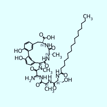 CCCCCCCCCCCCCCCC(=O)N[C@H](CO)C(=O)N[C@H](C)C(=O)N[C@@H](N)C(=O)N(C)[C@@H]1C(=O)N[C@@H](C)C(=O)N[C@H](C(=O)O)Cc2ccc(O)c(c2)-c2cc1ccc2O